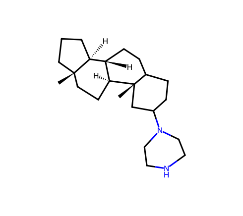 C[C@@]12CCC[C@H]1[C@@H]1CCC3CCC(N4CCNCC4)C[C@]3(C)[C@H]1CC2